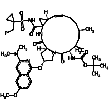 COc1ccc2c(O[C@@H]3C[C@H]4C(=O)N[C@]5(C(=O)NS(=O)(=O)C6(CF)CC6)C[C@H]5/C=C\CC[C@H](C)C[C@@H](C)[C@H](NC(=O)OC(C)(C)C)C(=O)N4C3)nc(N(C)C)cc2c1